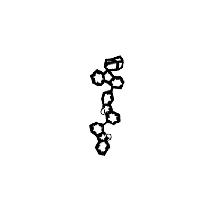 c1ccc2c(c1)-c1c(-c3ccc4oc5c(-c6cccc7c6oc6ccccc67)cccc5c4c3)cccc1C21C2CC3CC(C2)CC1C3